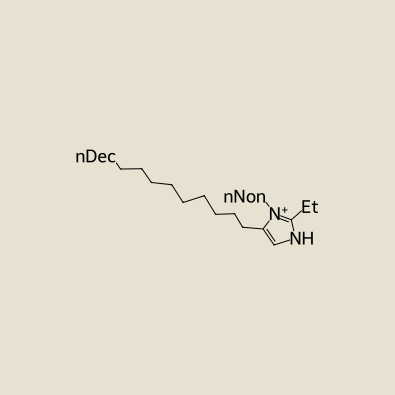 CCCCCCCCCCCCCCCCCCCc1c[nH]c(CC)[n+]1CCCCCCCCC